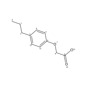 CCCc1ccc(OCC(=O)Cl)cc1